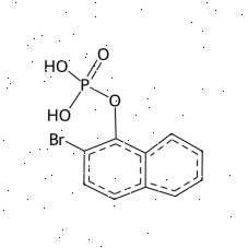 O=P(O)(O)Oc1c(Br)ccc2ccccc12